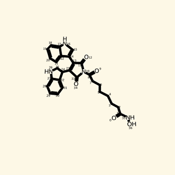 O=C(CCCCCCC(=O)N1C(=O)C(c2c[nH]c3ccccc23)=C(C2CNc3ccccc32)C1=O)NO